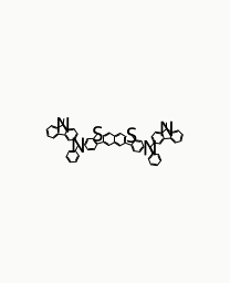 Cn1c2ccccc2c2cc(N(c3ccccc3)c3ccc4c(c3)sc3cc5cc6sc7cc(N(c8ccccc8)c8ccc9c(c8)c8ccccc8n9C)ccc7c6cc5cc34)ccc21